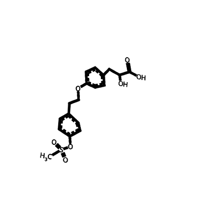 CS(=O)(=O)Oc1ccc(CCOc2ccc(CC(O)C(=O)O)cc2)cc1